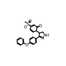 CS(=O)(=O)C1=CC(=O)C(C2CNN=C2c2ccc(Oc3ccccc3)cc2)C=C1